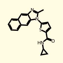 Cc1nc2cc3ccccc3cc2n1-c1ccc(C(=O)NC2CC2)s1